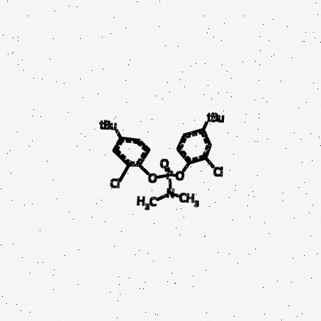 CN(C)P(=O)(Oc1ccc(C(C)(C)C)cc1Cl)Oc1ccc(C(C)(C)C)cc1Cl